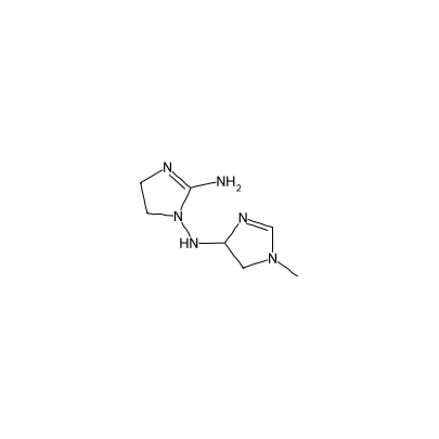 CN1C=NC(NN2CCN=C2N)C1